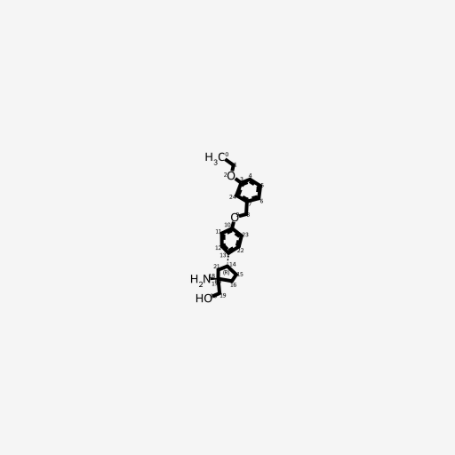 CCOc1cccc(COc2ccc([C@@H]3CC[C@](N)(CO)C3)cc2)c1